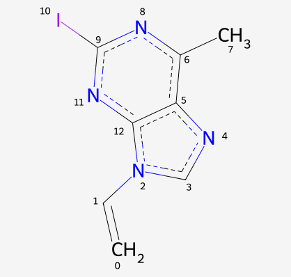 C=Cn1cnc2c(C)nc(I)nc21